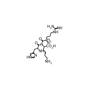 N=C(N)NCCCC(N)C(=O)N(C(=O)C(N)Cc1c[nH]cn1)C(CCCCN)C(=O)O